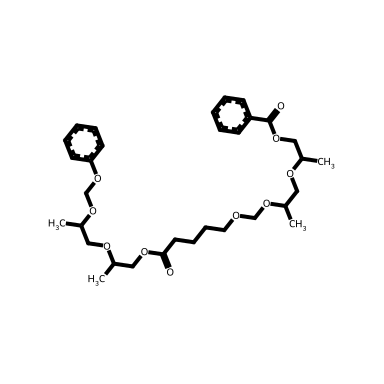 CC(COC(=O)CCCCOCOC(C)COC(C)COC(=O)c1ccccc1)OCC(C)OCOc1ccccc1